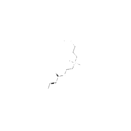 CC=CC(=O)OCC[N+](C)(C)CCCS(=O)(=O)O